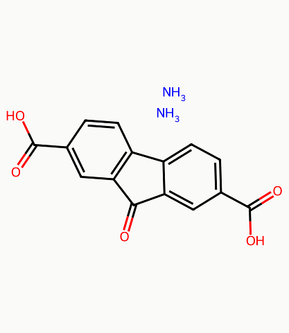 N.N.O=C(O)c1ccc2c(c1)C(=O)c1cc(C(=O)O)ccc1-2